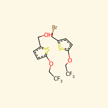 FC(F)(F)COc1ccc(CBr)s1.OCc1ccc(OCC(F)(F)F)s1